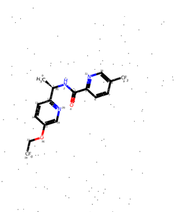 C[C@@H](NC(=O)c1ccc(C(F)(F)F)cn1)c1ccc(OCC(F)(F)F)cn1